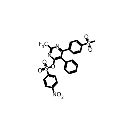 CS(=O)(=O)c1ccc(-c2nc(C(F)(F)F)nc(OS(=O)(=O)c3ccc([N+](=O)[O-])cc3)c2-c2ccccc2)cc1